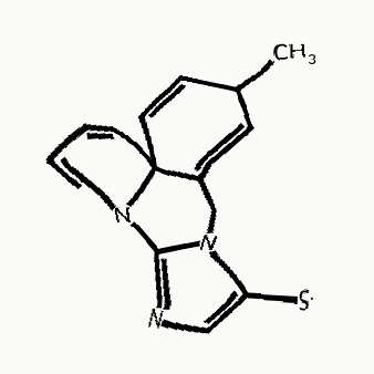 CC1C=CC23C=CC=CN2c2ncc([S])n2C3=C1